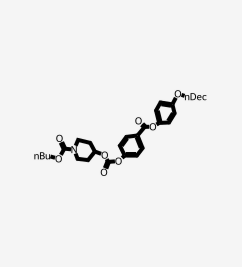 CCCCCCCCCCOc1ccc(OC(=O)c2ccc(OC(=O)OC3CCN(C(=O)OCCCC)CC3)cc2)cc1